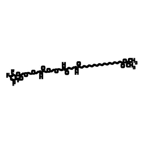 CC(C)OC(=O)CCCCCCCCCCCCCCCCC(=O)NCCCC(=O)NCCOCCOCC(=O)NCCOCCOCC(=O)Oc1c(F)c(F)cc(F)c1F